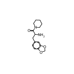 NC(Cc1ccc2c(c1)OCO2)C(=O)N1CCCCC1